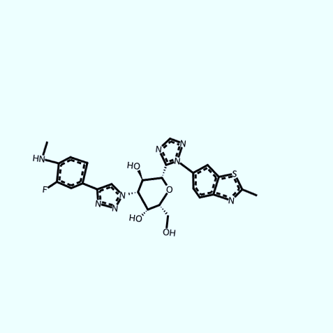 CNc1ccc(-c2cn([C@H]3[C@@H](O)[C@@H](CO)O[C@@H](c4ncnn4-c4ccc5nc(C)sc5c4)[C@@H]3O)nn2)cc1F